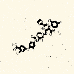 COC(=O)C1=C(CN2CCN3C(=O)N(c4ccc(Oc5ccc(C(=O)O)c(Cl)c5)c(F)c4)C[C@@H]3C2)NC(c2nccs2)=N[C@H]1c1ccc(F)cc1Cl